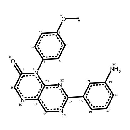 COc1ccc(-n2c(=O)cnc3cnc(-c4cccc(N)c4)nc32)cc1